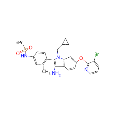 CCCS(=O)(=O)Nc1ccc(-c2c(N)c3ccc(Oc4ncccc4Br)cc3n2CC2CC2)c(C)c1